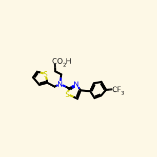 O=C(O)CCN(Cc1cccs1)c1nc(-c2ccc(C(F)(F)F)cc2)cs1